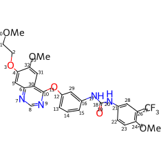 COCCOc1cc2ncnc(Oc3cccc(NC(=O)Nc4ccc(OC)c(C(F)(F)F)c4)c3)c2cc1OC